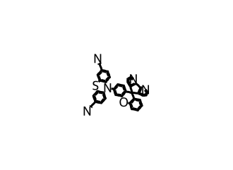 N#Cc1ccc2c(c1)Sc1cc(C#N)ccc1N2c1ccc2c(c1)Oc1ccccc1C21c2cccnc2-c2ncccc21